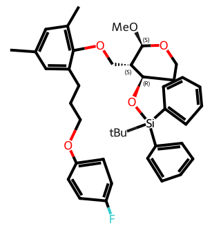 CO[C@H]1OCC[C@@H](O[Si](c2ccccc2)(c2ccccc2)C(C)(C)C)[C@@H]1COc1c(C)cc(C)cc1CCCOc1ccc(F)cc1